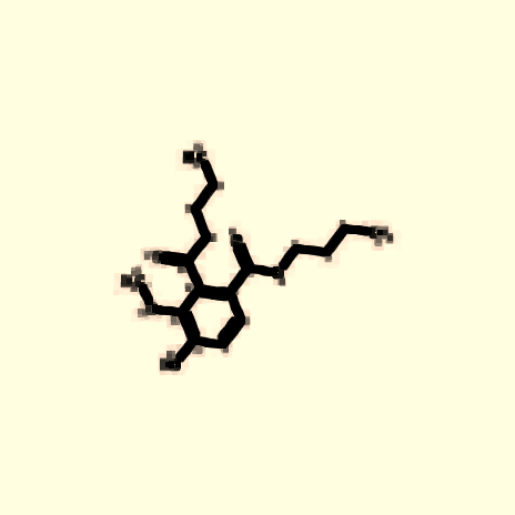 CCCCOC(=O)c1ccc(O)c(OC)c1C(=O)CCCC